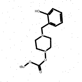 CC(C)(C)OC(=O)ON1CCN(Cc2ccccc2O)CC1